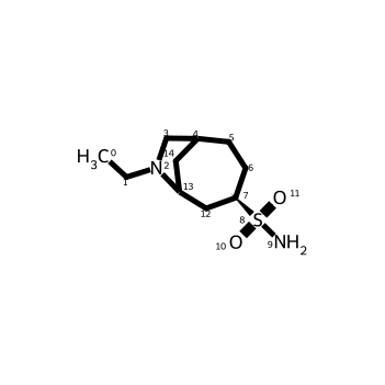 CCN1CC2CC[C@@H](S(N)(=O)=O)CC1C2